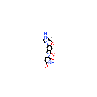 O=C1CCC(N2Cc3cc4c(cc3C2=O)OC[C@@H]2CNCCN42)C(=O)N1